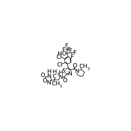 CC1CCCCN1C(=O)c1nc(C(=O)NCC(C)(C)c2noc(=O)[nH]2)sc1-c1ccc(C(O)(C(F)(F)F)C(F)(F)F)c(Cl)c1Cl